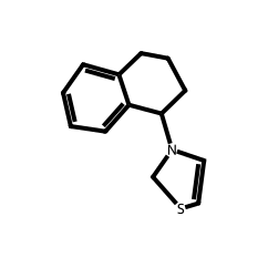 C1=CN(C2CCCc3ccccc32)CS1